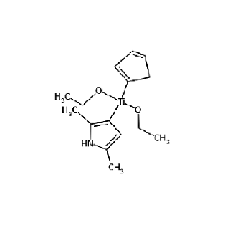 CC[O][Ti]([O]CC)([C]1=CC=CC1)[c]1cc(C)[nH]c1C